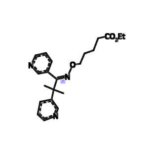 CCOC(=O)CCCCO/N=C(\c1cccnc1)C(C)(C)c1cccnc1